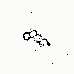 C#CCN(CC1COc2ccccc2N1)C(=O)C(F)(F)F